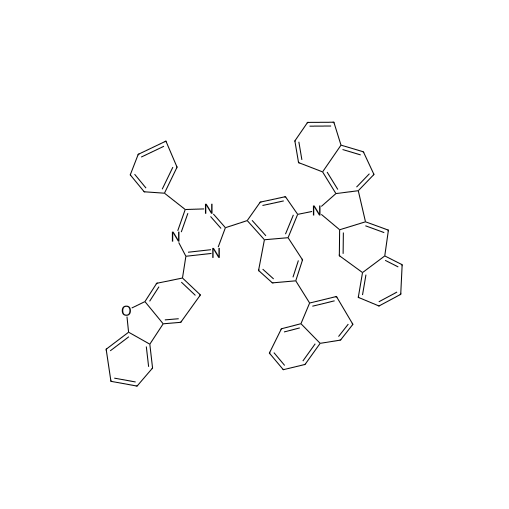 c1ccc(-c2nc(-c3ccc4c(c3)oc3ccccc34)nc(-c3ccc(-n4c5cc6ccccc6cc5c5ccc6ccccc6c54)c4cc(-c5cccc6ccccc56)ccc34)n2)cc1